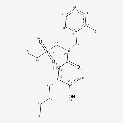 CCCC[C@H](NC(=O)[C@@H](Cc1ccccc1C)CS(=O)(=O)CC)C(=O)O